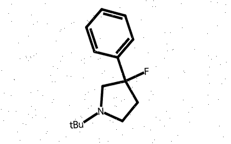 CC(C)(C)N1CCC(F)(c2ccccc2)C1